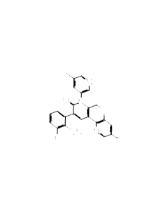 Cc1cncc(-n2c3c(cc(-c4cccc(F)c4C#N)c2=O)-c2ncc(F)cc2OC3)c1